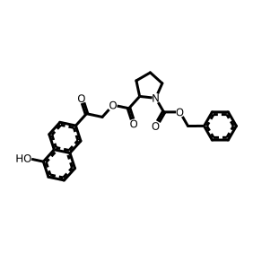 O=C(COC(=O)C1CCCN1C(=O)OCc1ccccc1)c1ccc2c(O)cccc2c1